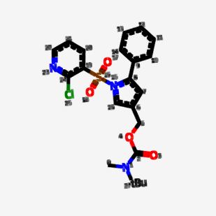 CN(C(=O)OCc1cc(-c2ccccc2)n(S(=O)(=O)c2cccnc2Cl)c1)C(C)(C)C